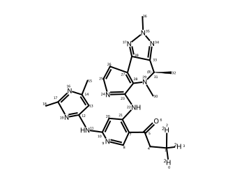 [2H]C([2H])([2H])CC(=O)c1cnc(Nc2cc(C)nc(C)n2)cc1Nc1nccc2c1N(C)[C@H](C)c1nn(C)nc1-2